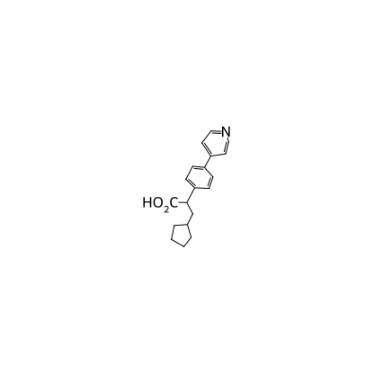 O=C(O)C(CC1CCCC1)c1ccc(-c2ccncc2)cc1